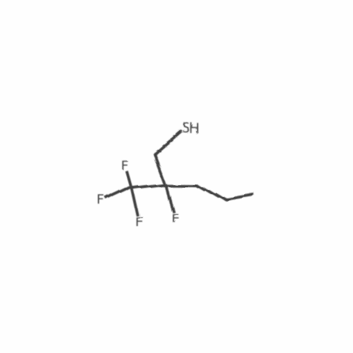 CCCC(F)(CS)C(F)(F)F